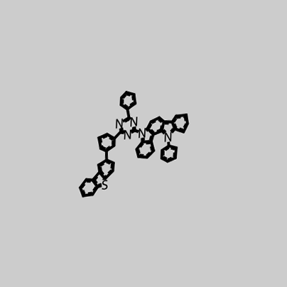 c1ccc(-c2nc(-c3cccc(-c4ccc5sc6ccccc6c5c4)c3)nc(-n3c4ccccc4c4c3ccc3c5ccccc5n(-c5ccccc5)c34)n2)cc1